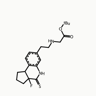 CC(C)(C)OC(=O)CNCCc1ccc2c(c1)NC(=S)C1(F)CCCC21